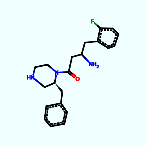 NC(CC(=O)N1CCNC[C@H]1Cc1ccccc1)Cc1ccccc1F